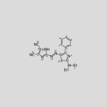 CCN(CC)c1nc(-c2ccccc2)c(/N=N/c2nc(C#N)c(C#N)[nH]2)s1